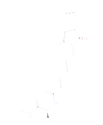 CCC(CC)SC1CC(=O)N(CCCCCC(=O)N[C@H](C(=O)NCC(=O)O)C(C)(C)C)C1=O